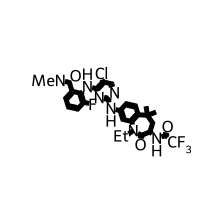 CCN1C(=O)C(NC(=O)C(F)(F)F)CC(C)(C)c2ccc(Nc3ncc(Cl)c(Nc4c(F)cccc4C(=O)NC)n3)cc21